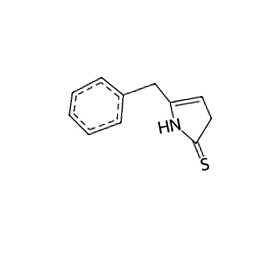 S=C1CC=C(Cc2ccccc2)N1